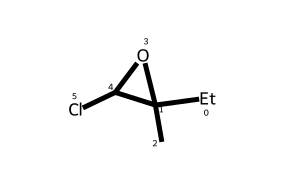 CCC1(C)OC1Cl